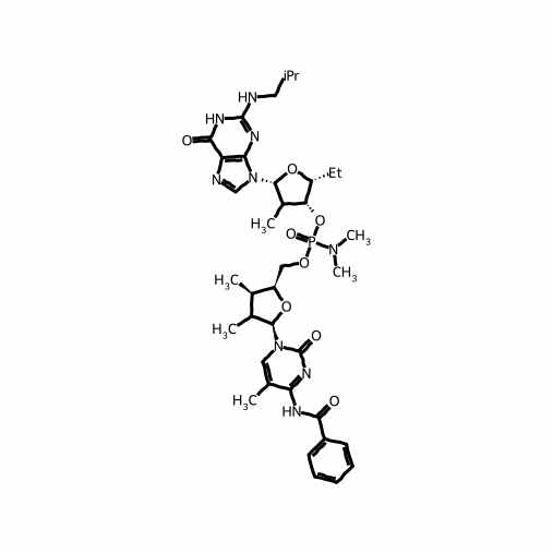 CC[C@H]1O[C@@H](n2cnc3c(=O)[nH]c(NCC(C)C)nc32)C(C)[C@H]1OP(=O)(OC[C@H]1O[C@@H](n2cc(C)c(NC(=O)c3ccccc3)nc2=O)C(C)[C@H]1C)N(C)C